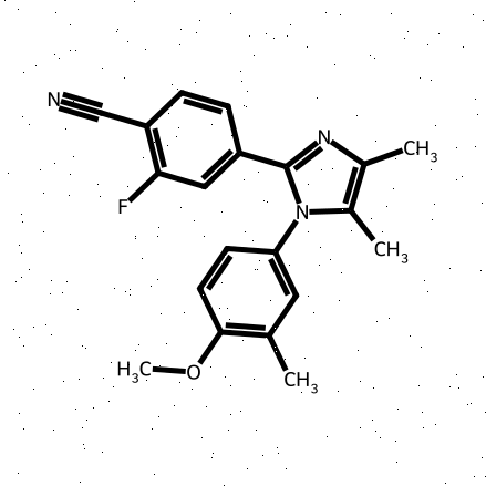 COc1ccc(-n2c(-c3ccc(C#N)c(F)c3)nc(C)c2C)cc1C